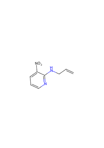 C=CCNc1ncccc1[N+](=O)[O-]